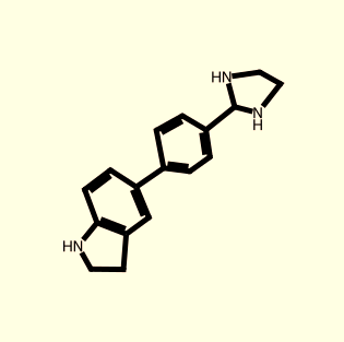 c1cc(C2NCCN2)ccc1-c1ccc2c(c1)CCN2